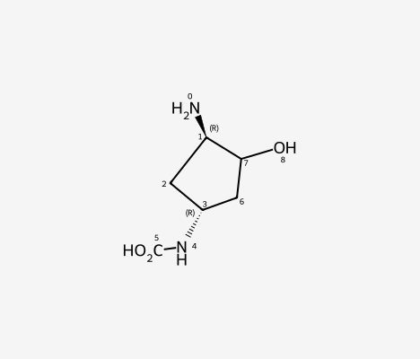 N[C@@H]1C[C@@H](NC(=O)O)CC1O